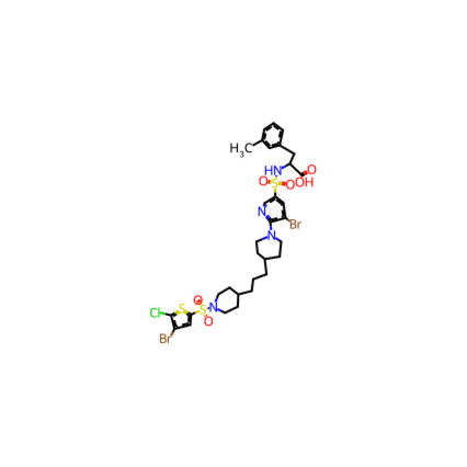 Cc1cccc(CC(NS(=O)(=O)c2cnc(N3CCC(CCCC4CCN(S(=O)(=O)c5cc(Br)c(Cl)s5)CC4)CC3)c(Br)c2)C(=O)O)c1